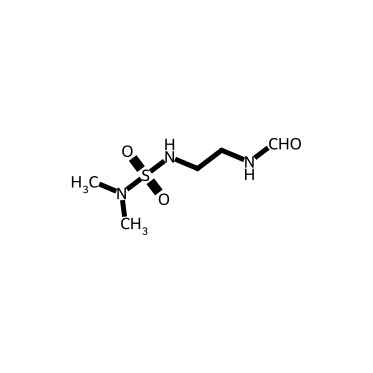 CN(C)S(=O)(=O)NCCNC=O